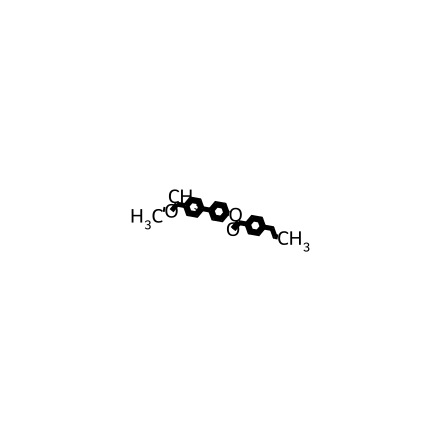 CCCc1ccc(C(=O)Oc2ccc(-c3ccc(C(C)OCC)cc3)cc2)cc1